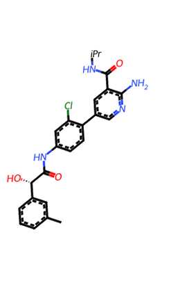 Cc1cccc([C@H](O)C(=O)Nc2ccc(-c3cnc(N)c(C(=O)NC(C)C)c3)c(Cl)c2)c1